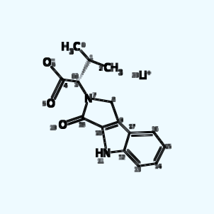 CC(C)[C@@H](C(=O)[O-])N1Cc2c([nH]c3ccccc23)C1=O.[Li+]